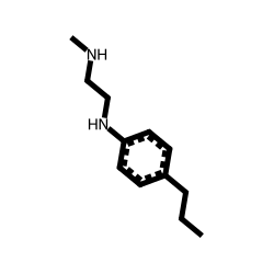 CCCc1ccc(NCCNC)cc1